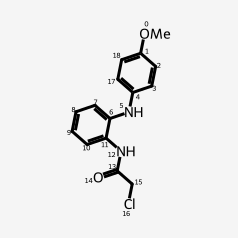 COc1ccc(Nc2ccccc2NC(=O)CCl)cc1